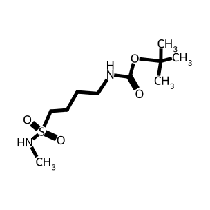 CNS(=O)(=O)CCCCNC(=O)OC(C)(C)C